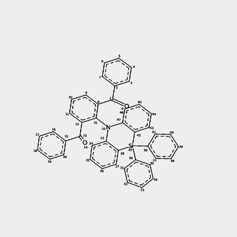 O=C(c1ccccc1)c1cccc(C(=O)c2ccccc2)c1N1c2ccccc2[Si](c2ccccc2)(c2ccccc2)c2ccccc21